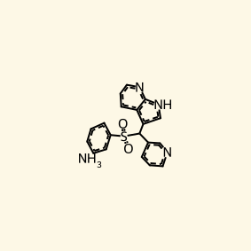 N.O=S(=O)(c1ccccc1)C(c1cccnc1)c1c[nH]c2ncccc12